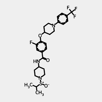 CC(C)[S+]([O-])N1CCC(NC(=O)c2ccc(OC3CCN(c4ccc(C(F)(F)F)cc4)CC3)c(F)c2)CC1